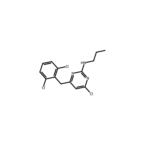 CCCNc1nc(Cl)cc(Cc2c(Cl)cccc2Cl)n1